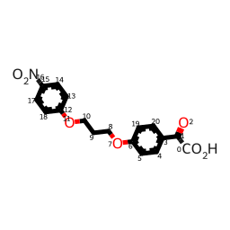 O=C(O)C(=O)c1ccc(OCCCOc2ccc([N+](=O)[O-])cc2)cc1